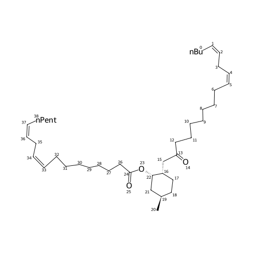 CCCC/C=C\C/C=C\CCCCCCCC(=O)C[C@@H]1CC[C@@H](C)C[C@@H]1OC(=O)CCCCCCC/C=C\C/C=C\CCCCC